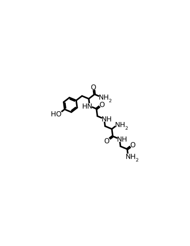 NC(=O)CNC(=O)C(N)CNCC(=O)NC(Cc1ccc(O)cc1)C(N)=O